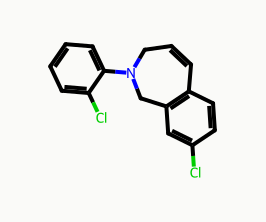 Clc1ccc2c(c1)CN(c1ccccc1Cl)CC=C2